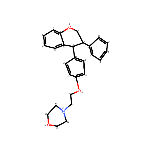 c1ccc(C2COc3ccccc3C2c2ccc(OCCN3CCOCC3)cc2)cc1